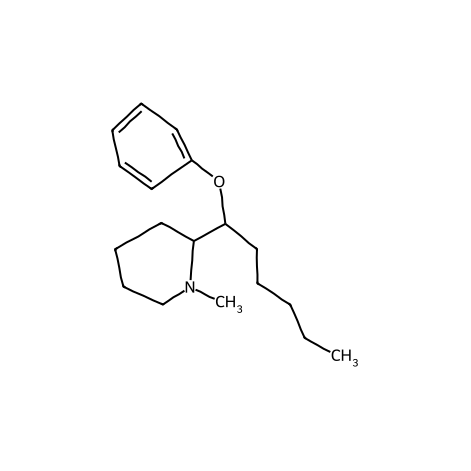 CCCCCC(Oc1ccccc1)C1CCCCN1C